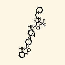 O=C(Nc1ccc(N2CCN(C(=O)Nc3ccccc3F)CC2)nc1)c1sc(CN2CCCCC2)nc1C(F)(F)F